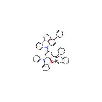 c1ccc(-c2ccc(-c3ccccc3N(c3ccccc3)c3cc(N(c4ccc(-c5ccccc5)cc4)c4ccccc4-c4ccccc4)cc4c3oc3cc5ccccc5cc34)cc2)cc1